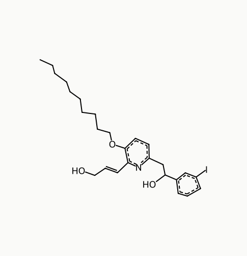 CCCCCCCCCCOc1ccc(CC(O)c2cccc(I)c2)nc1/C=C/CO